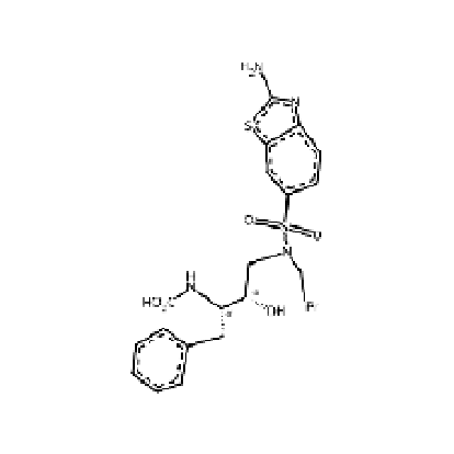 CC(C)CN(C[C@H](O)[C@H](Cc1ccccc1)NC(=O)O)S(=O)(=O)c1ccc2nc(N)sc2c1